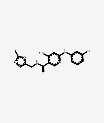 Cc1nnc(CNC(=O)c2cnc(Nc3cccc(Cl)c3)cc2C(F)(F)F)o1